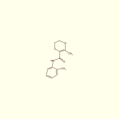 CC1=C(C(=O)Nc2ccccc2C)SCCO1